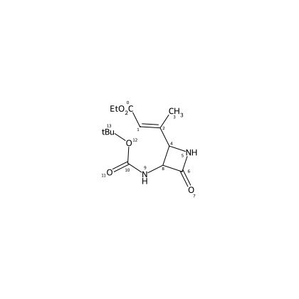 CCOC(=O)C=C(C)C1NC(=O)C1NC(=O)OC(C)(C)C